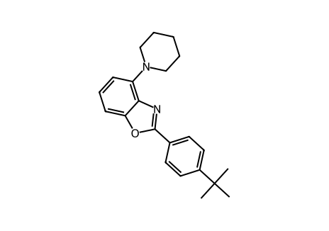 CC(C)(C)c1ccc(-c2nc3c(N4CCCCC4)cccc3o2)cc1